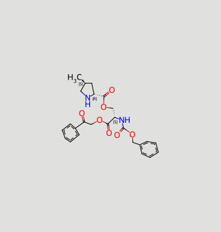 C[C@@H]1CN[C@@H](C(=O)OC[C@H](NC(=O)OCc2ccccc2)C(=O)OCC(=O)c2ccccc2)C1